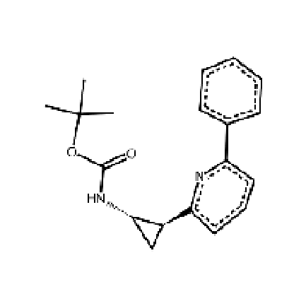 CC(C)(C)OC(=O)N[C@H]1C[C@@H]1c1cccc(-c2ccccc2)n1